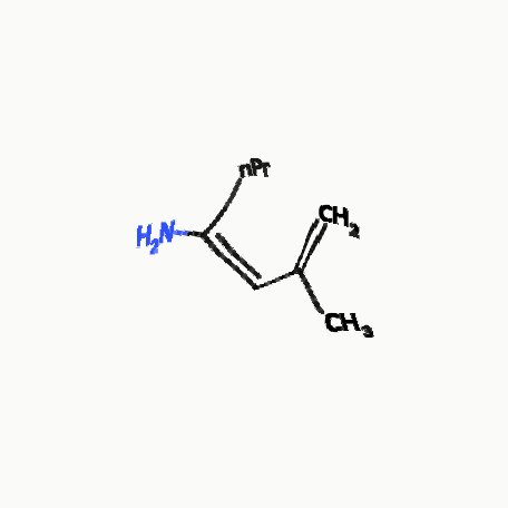 C=C(C)/C=C(/N)CCC